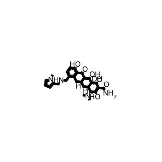 CN(C)[C@H]1C(O)=C(C(N)=O)C(=O)[C@@]2(O)C(O)=C3C(=O)c4c(O)ccc(CNCc5cccn5C)c4C[C@H]3C[C@@H]12